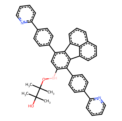 CC(C)(O)C(C)(C)OBc1cc(-c2ccc(-c3ccccn3)cc2)c2c(c1-c1ccc(-c3ccccn3)cc1)-c1cccc3cccc-2c13